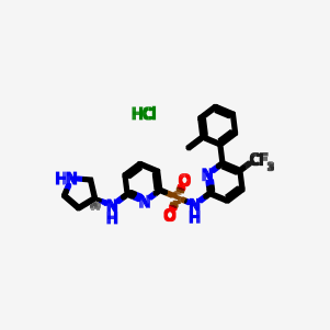 Cc1ccccc1-c1nc(NS(=O)(=O)c2cccc(N[C@H]3CCNC3)n2)ccc1C(F)(F)F.Cl